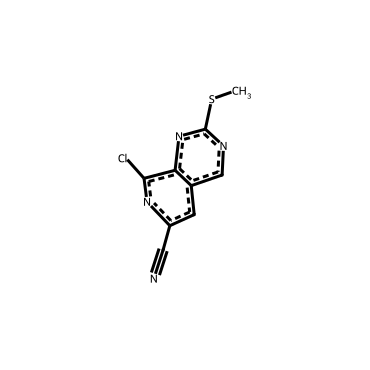 CSc1ncc2cc(C#N)nc(Cl)c2n1